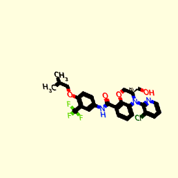 CC(C)COc1ccc(NC(=O)c2cccc3c2OC[C@H](CO)N3c2ncccc2Cl)cc1C(F)(F)F